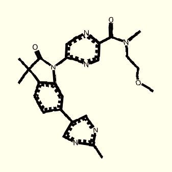 COCCN(C)C(=O)c1cnc(N2C(=O)C(C)(C)c3ccc(-c4cnc(C)nc4)cc32)cn1